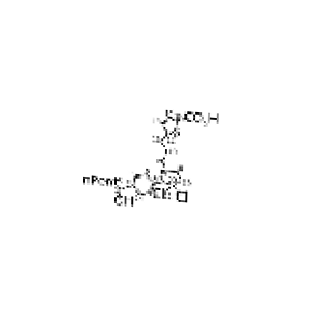 CCCCCC(O)c1ccc(C2[C@@H](CCCc3ccc(C(=O)O)s3)CCC2(Cl)Cl)cc1